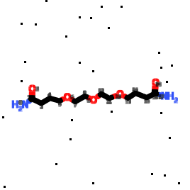 NC(=O)CCCOCCOCCOCCCC(N)=O